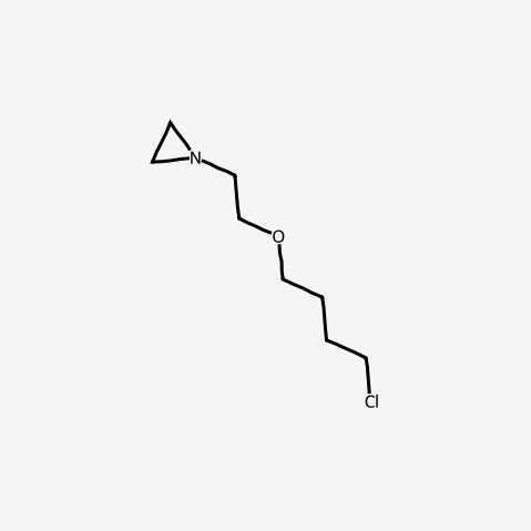 ClCCCCOCCN1CC1